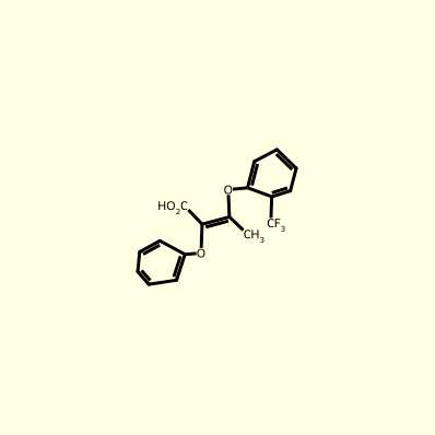 CC(Oc1ccccc1C(F)(F)F)=C(Oc1ccccc1)C(=O)O